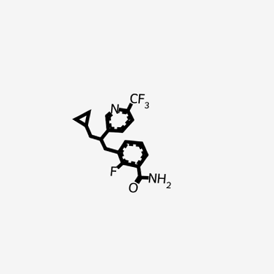 NC(=O)c1cccc(CC(CC2CC2)c2ccc(C(F)(F)F)nc2)c1F